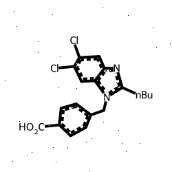 CCCCc1nc2cc(Cl)c(Cl)cc2n1Cc1ccc(C(=O)O)cc1